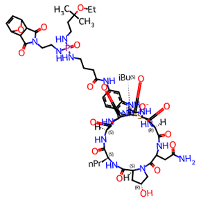 CCC[C@@H]1NC(=O)[C@@H]2C[C@@H](O)CN2C(=O)C(CC(N)=O)NC(=O)[C@@H]2C[S+]([O-])c3[nH]c4cc(NC(=O)CCCNP(=O)(NCCN5C(=O)C6C7C=CC(O7)C6C5=O)NCCC(C)(C)OCC)ccc4c3C[C@H](NC1=O)C(=O)NCC(=O)N[C@@H]([C@@H](C)CC)C(=O)NCC(=O)N2